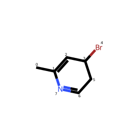 CC1=CC(Br)CC=N1